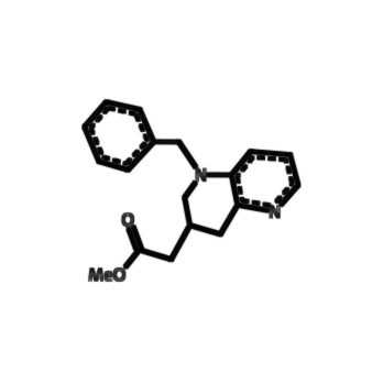 COC(=O)CC1Cc2ncccc2N(Cc2ccccc2)C1